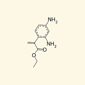 C=C(C(=O)OCC)c1ccc(N)cc1N